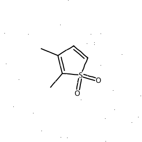 CC1=C(C)S(=O)(=O)C=C1